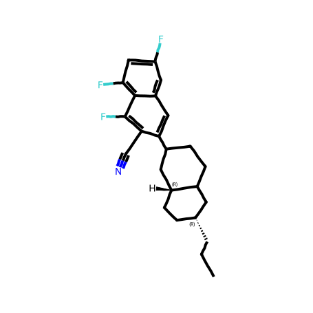 CCC[C@@H]1CC[C@@H]2CC(c3cc4cc(F)cc(F)c4c(F)c3C#N)CCC2C1